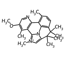 COc1cnc2c3c(C)ccc4c3n3c(c[n+](C)c3c2c1C)C(C)(C)C4(C)C